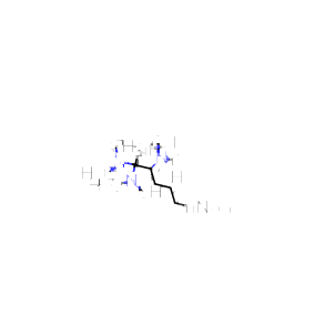 CCCCCCCCCCCCC(N(C)C)C([SiH3])(N(C)C)N(C)C